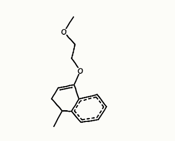 COCCOC1=CCC(C)c2ccccc21